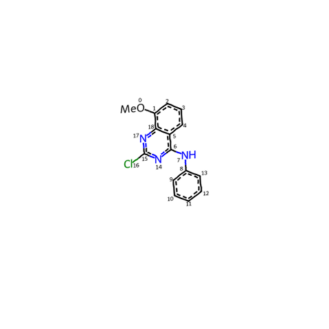 COc1cccc2c(Nc3ccccc3)nc(Cl)nc12